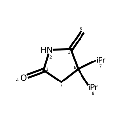 C=C1NC(=O)CC1(C(C)C)C(C)C